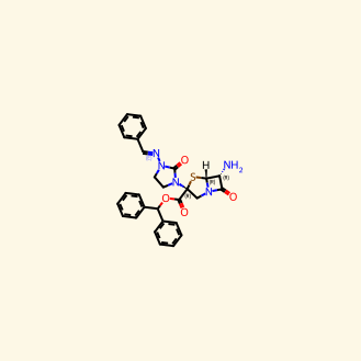 N[C@@H]1C(=O)N2C[C@@](C(=O)OC(c3ccccc3)c3ccccc3)(N3CCN(/N=C/c4ccccc4)C3=O)S[C@H]12